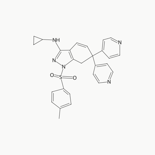 Cc1ccc(S(=O)(=O)n2nc(NC3CC3)c3c2CC(c2ccncc2)(c2ccncc2)C=C3)cc1